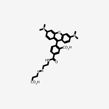 CN(C)c1ccc2c(c1)OC1=CC(N(C)C)C=CC1=C2c1ccc(C(=O)NCCSSCCC(=O)O)cc1C(=O)O